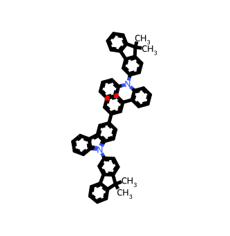 CC1(C)c2ccccc2-c2cc(N(c3ccccc3)c3ccccc3-c3cccc(-c4ccc5c(c4)c4ccccc4n5-c4ccc5c(c4)-c4ccccc4C5(C)C)c3)ccc21